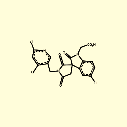 O=C(O)CN1C(=O)C2(CC(=O)N(Cc3cnc(Cl)cc3Cl)C2=O)c2cc(Cl)ccc21